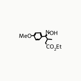 CCOC(=O)CC(C)C(=NO)c1ccc(OC)cc1